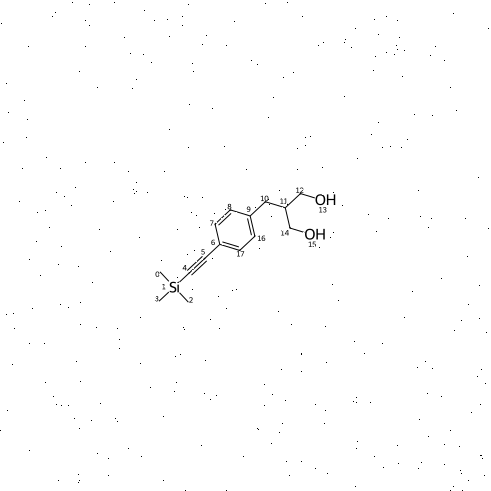 C[Si](C)(C)C#Cc1ccc(CC(CO)CO)cc1